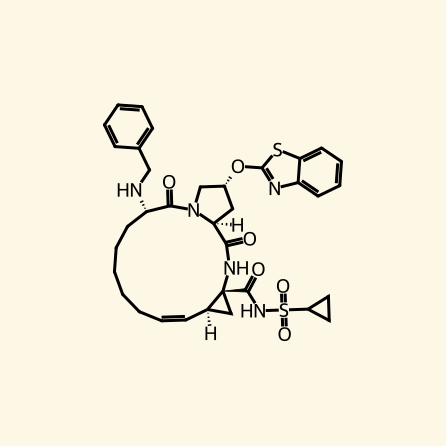 O=C1N[C@]2(C(=O)NS(=O)(=O)C3CC3)C[C@H]2/C=C\CCCCC[C@H](NCc2ccccc2)C(=O)N2C[C@H](Oc3nc4ccccc4s3)C[C@@H]12